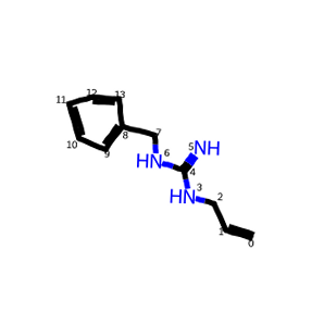 C=CCNC(=N)NCc1ccccc1